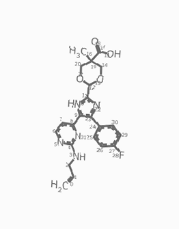 C=CCNc1nccc(-c2[nH]c(C3OCC(C)(C(=O)O)CO3)nc2-c2ccc(F)cc2)n1